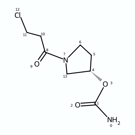 NC(=O)O[C@H]1CCN(C(=O)CCCl)C1